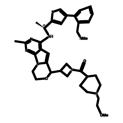 CNCc1ccccc1-c1csc([C@@H](C)Nc2nc(C)nc3c2cc2n3CCOC2C2CN(C(=O)C3CCN(CCOC)CC3)C2)c1